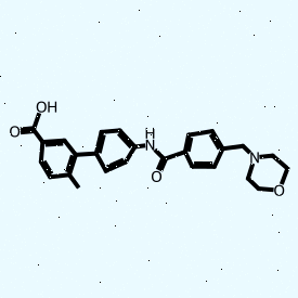 Cc1ccc(C(=O)O)cc1-c1ccc(NC(=O)c2ccc(CN3CCOCC3)cc2)cc1